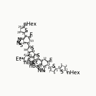 CCCCCCc1ccc(-c2ccc(-c3c(F)cc(-c4cc5c(s4)-c4sc(-c6cc(F)c(-c7ccc(CCCCCC)s7)c7nnsc67)cc4[Si]5(CC(CC)CCCC)CC(CC)CCCC)c4snnc34)s2)s1